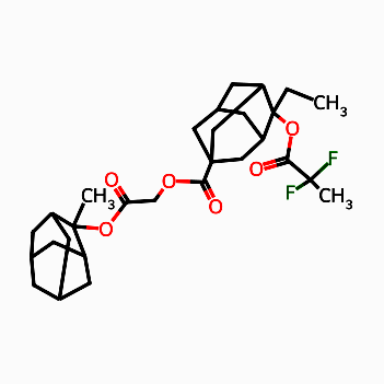 CCC1(OC(=O)C(C)(F)F)C2CC3CC1CC(C(=O)OCC(=O)OC1(C)C4CC5CC(C4)CC1C5)(C3)C2